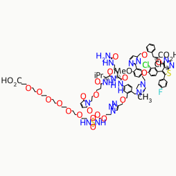 COc1ccccc1-c1nccc(COc2ccccc2C[C@@H](Oc2ncnc3sc(-c4ccc(F)cc4)c(-c4ccc(OCCN5CC[N+](C)(Cc6ccc(NC(=O)[C@H](CCCNC(N)=O)NC(=O)[C@@H](NC(=O)CCOCCN7C(=O)C=CC7=O)C(C)C)cc6COCc6cn(CCOC(=O)NS(=O)(=O)NCCOCCOCCOCCOCCOCCOCCC(=O)O)nn6)CC5)c(Cl)c4C)c23)C(=O)O)n1